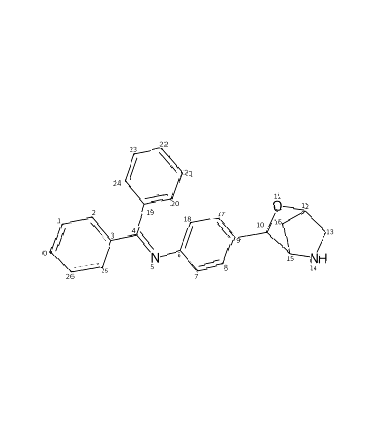 c1ccc(C(=Nc2ccc(C3OC4CNC3C4)cc2)c2ccccc2)cc1